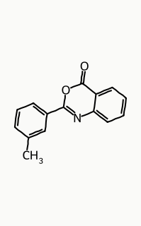 Cc1cccc(-c2nc3ccccc3c(=O)o2)c1